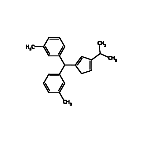 Cc1cccc(C(C2=CC(C(C)C)=CC2)c2cccc(C)c2)c1